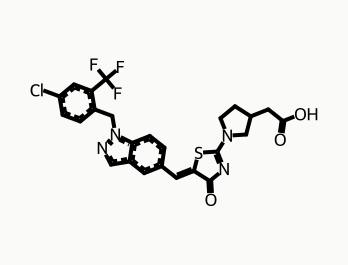 O=C(O)CC1CCN(C2=NC(=O)/C(=C/c3ccc4c(cnn4Cc4ccc(Cl)cc4C(F)(F)F)c3)S2)C1